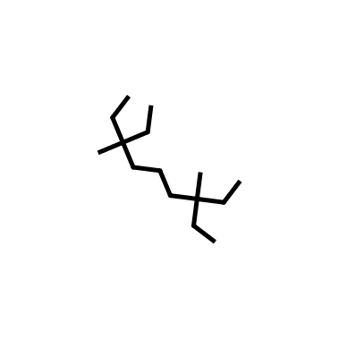 CCC(C)(CC)CCCC(C)(CC)CC